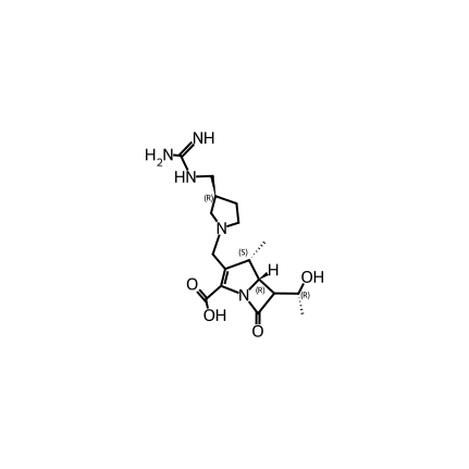 C[C@@H](O)C1C(=O)N2C(C(=O)O)=C(CN3CC[C@H](CNC(=N)N)C3)[C@H](C)[C@H]12